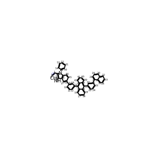 C/C=C\c1c(N)c2cc(-c3cccc(-c4c5ccccc5c(-c5cccc(-c6cccc7ccccc67)c5)c5ccccc45)c3)ccc2n1-c1ccccc1